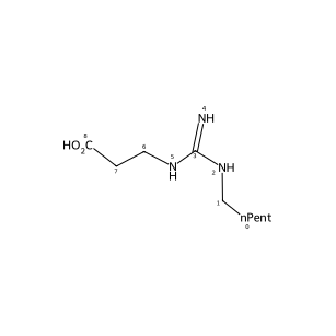 CCCCCCNC(=N)NCCC(=O)O